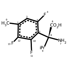 Cc1cc(F)c([C@@](N)(C(=O)O)C(C)C)c(F)c1F